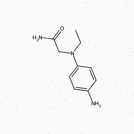 CCN(CC(N)=O)c1ccc(N)cc1